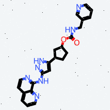 O=C(NCc1cccnc1)OC1CCC(c2cc(Nc3nccc4cccnc34)n[nH]2)C1